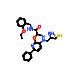 CCOc1ccccc1CNC(=O)C(C)Oc1nc(-c2ccccc2)ccc1NCC(N)CS